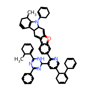 CC1CC=CC=C1C1=NC(c2ccccc2)=NC(c2cc(C3CC=CC=C3C3C=CC=CC3)cnc2-c2ccc3c4c(oc3c2)=CC2C(C=4)C3=C(C(C)CC#C3)N2C2=CC=CCC2)N1